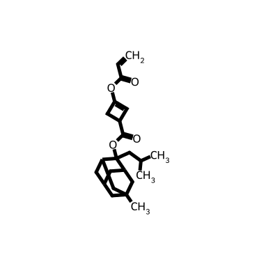 C=CC(=O)OC1=CC(C(=O)OC2(CC(C)C)C3CC4CC2CC(C)(C4)C3)C1